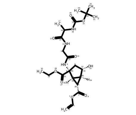 C=COC(=O)[C@H]1[C@H]2[C@@H]1[C@@](NC(=O)CNC(=O)C(C)NC(=O)OC(C)(C)C)(C(=O)OCC)C[C@@H]2O